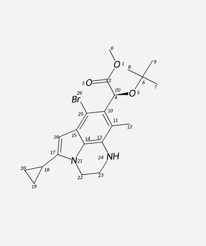 COC(=O)[C@@H](OC(C)(C)C)c1c(C)c2c3c(cc(C4CC4)n3CCN2)c1Br